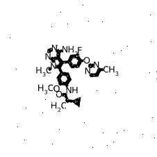 C=C(C(=O)Nc1ccc(-c2c(-c3ccc(Oc4nccc(C)n4)c(F)c3)c3c(N)ncnc3n2C)cc1OC)C1CC1